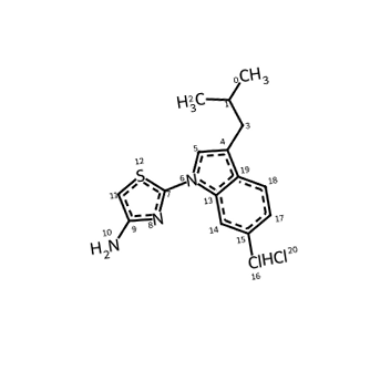 CC(C)Cc1cn(-c2nc(N)cs2)c2cc(Cl)ccc12.Cl